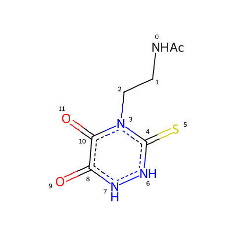 CC(=O)NCCn1c(=S)[nH][nH]c(=O)c1=O